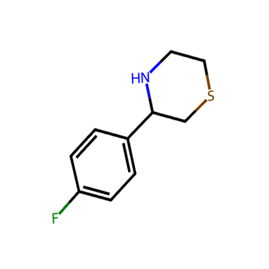 Fc1ccc(C2CSCCN2)cc1